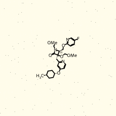 COCO[C@@]1(Cc2cc(O[C@H]3CC[C@H](C)CC3)ccn2)C(=O)N(COC)[C@H]1COc1ccc(F)cn1